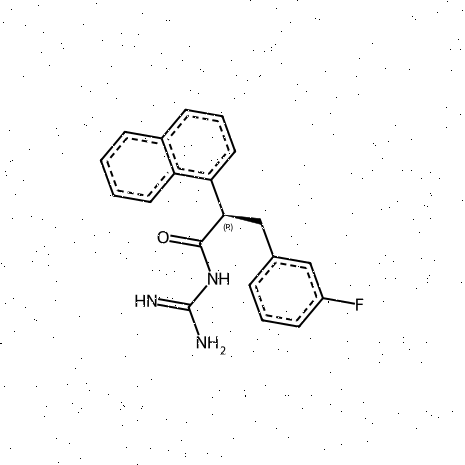 N=C(N)NC(=O)[C@H](Cc1cccc(F)c1)c1cccc2ccccc12